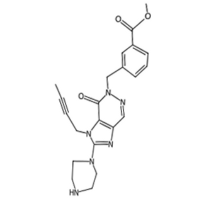 CC#CCn1c(N2CCNCC2)nc2cnn(Cc3cccc(C(=O)OC)c3)c(=O)c21